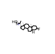 C/C(=N\O)[C@H]1CCC2C3CC[C@H]4C[C@H](F)CC[C@]4(C)C3CC[C@@]21C